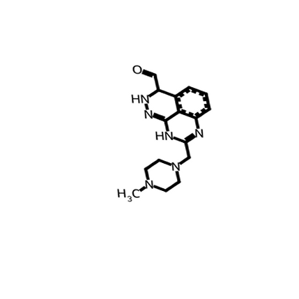 CN1CCN(CC2=Nc3cccc4c3C(=NNC4C=O)N2)CC1